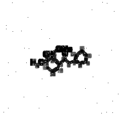 COCC1=C(C(=O)Cc2ccccc2)C=CCC1(C)C